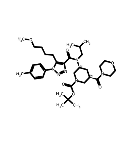 COCCCCc1c(C(=O)N(CC(C)C)[C@H]2C[C@@H](C(=O)N3CCOCC3)CN(C(=O)OC(C)(C)C)C2)nnn1-c1ccc(C)cc1